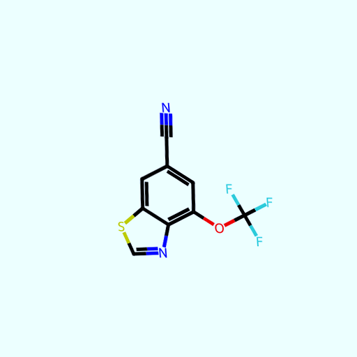 N#Cc1cc(OC(F)(F)F)c2ncsc2c1